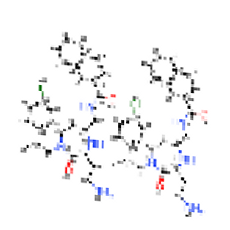 CC(CN1CC[C@@H](CNC(=O)c2ccc3ccccc3c2)N[C@@H](CCN)C1=O)c1ccc(Cl)cc1.CC(CN1CC[C@@H](CNC(=O)c2ccc3ccccc3c2)N[C@@H](CCN)C1=O)c1ccc(Cl)cc1